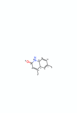 CC1=CC2C(C)=CC(=O)NC2C=C1